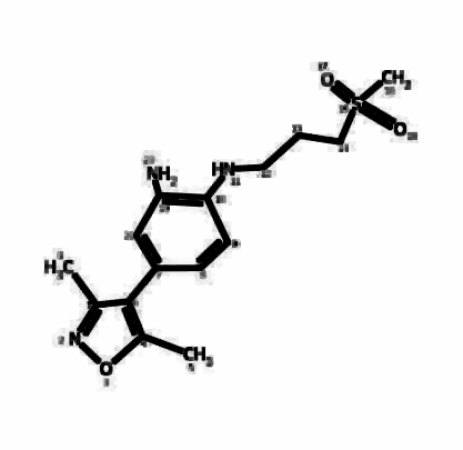 Cc1noc(C)c1-c1ccc(NCCCS(C)(=O)=O)c(N)c1